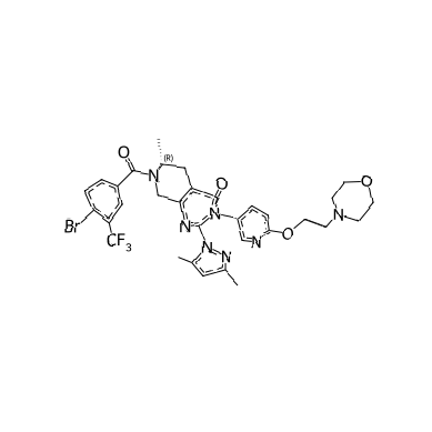 Cc1cc(C)n(-c2nc3c(c(=O)n2-c2ccc(OCCN4CCOCC4)nc2)C[C@@H](C)N(C(=O)c2ccc(Br)c(C(F)(F)F)c2)C3)n1